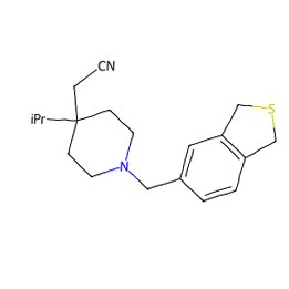 CC(C)C1(CC#N)CCN(Cc2ccc3c(c2)CSC3)CC1